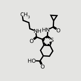 CCCCNC(=O)c1c(NC(=O)C2CC2)sc2c1CC(C(=O)O)CC2